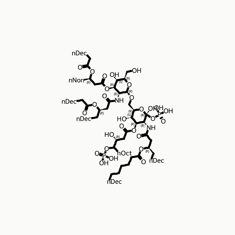 CCCCCCCCCCCCCCCC(=O)O[C@H](CCCCCCCCCCC)CC(=O)N[C@@H]1[C@@H](OC(=O)C[C@@H](O)C(CCCCCCCC)OP(=O)(O)O)[C@H](O)[C@@H](CO[C@@H]2O[C@H](CO)[C@@H](O)[C@H](OC(=O)C[C@@H](CCCCCCCCC)OC(=O)CCCCCCCCCCC)[C@H]2NC(=O)C[C@@H](CCCCCCCCCCC)OC(=O)CCCCCCCCCCC)O[C@@]1(O)OP(=O)(O)O